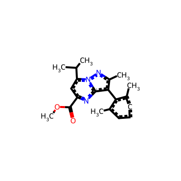 COC(=O)c1cc(C(C)C)n2nc(C)c(-c3c(C)cccc3C)c2n1